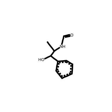 CC(NC=O)C(O)c1ccccc1